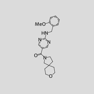 COc1ccccc1CNc1ncc(C(=O)N2CCC3(CCOCC3)C2)cn1